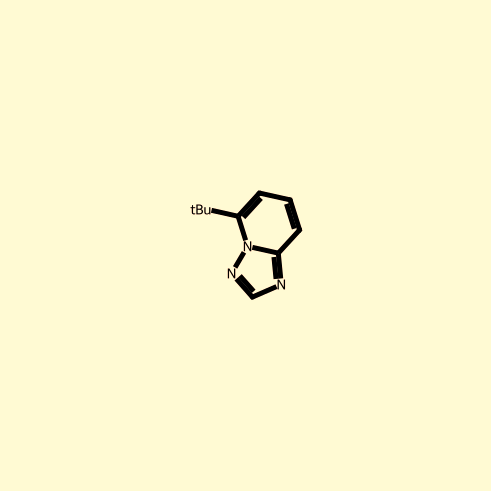 CC(C)(C)c1cccc2ncnn12